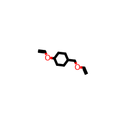 C=COCC1CCC(OC=C)CC1